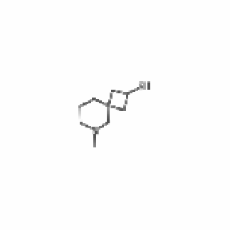 CN1CCCC2(CC(S)C2)C1